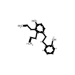 C=CCc1c(O)ccc(CCc2ccccc2O)c1CC=C